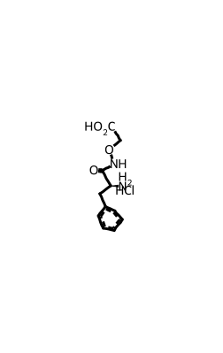 Cl.N[C@@H](Cc1ccccc1)C(=O)NOCC(=O)O